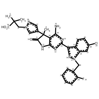 CC(C)(Cn1cc(C2(C)C(=O)Nc3nc(-c4nn(Cc5ccccc5F)c5cc(Cl)ccc45)nc(N)c32)cn1)C(=O)O